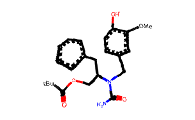 COc1cc(CN(C(N)=O)C(COC(=O)C(C)(C)C)Cc2ccccc2)ccc1O